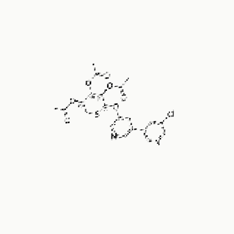 CC(=O)O[C@@H]1[C@@H](OC(C)=O)[C@@H](Oc2cncc(-c3cncc(Cl)c3)c2)SC[C@H]1OC(C)=O